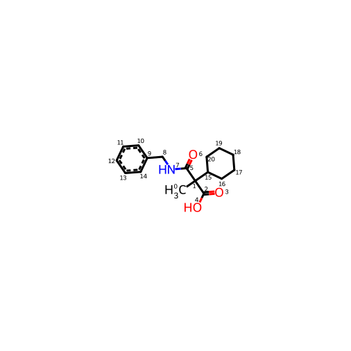 CC(C(=O)O)(C(=O)NCc1ccccc1)C1CCCCC1